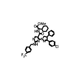 COC(=O)[C@@H](NC(=O)c1cnc(NCc2ccc(C(F)(F)F)cc2)nc1N1CC(c2ccccc2)C(c2ccc(Cl)cc2)=N1)C1CCCCC1